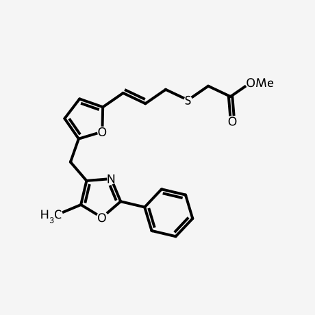 COC(=O)CSCC=Cc1ccc(Cc2nc(-c3ccccc3)oc2C)o1